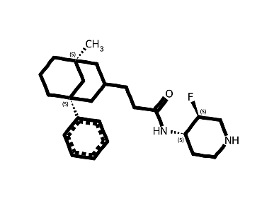 C[C@]12CCC[C@](c3ccccc3)(CC(CCC(=O)N[C@H]3CCNC[C@@H]3F)C1)C2